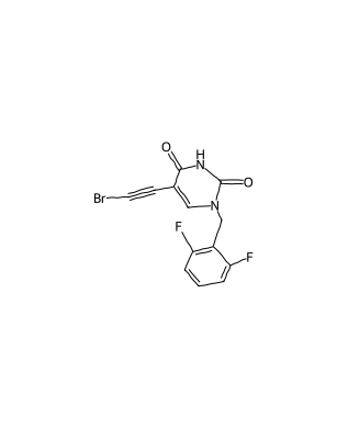 O=c1[nH]c(=O)n(Cc2c(F)cccc2F)cc1C#CBr